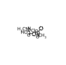 CCn1ncc(C(=O)c2ccc(S(C)(=O)=O)c(OCc3ccccc3)c2Cl)c1O